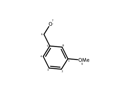 COc1cccc(C[O])c1